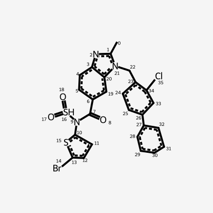 Cc1nc2ccc(C(=O)N(c3ccc(Br)s3)[SH](=O)=O)cc2n1Cc1ccc(-c2ccccc2)cc1Cl